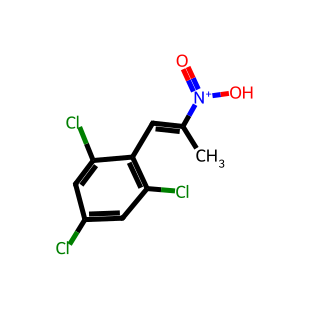 C/C(=C\c1c(Cl)cc(Cl)cc1Cl)[N+](=O)O